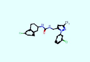 O=C(NCc1cc(C(F)(F)F)nn1-c1cccc(Cl)c1)NC1CCc2cc(Cl)ccc2C1